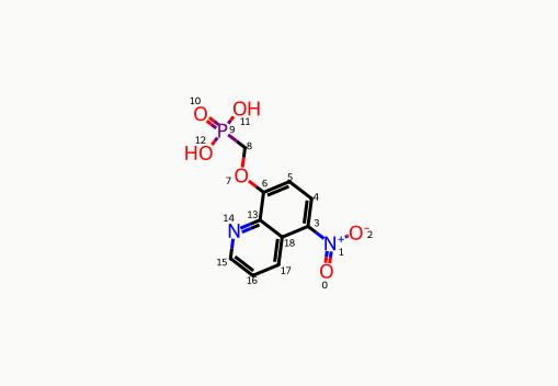 O=[N+]([O-])c1ccc(OCP(=O)(O)O)c2ncccc12